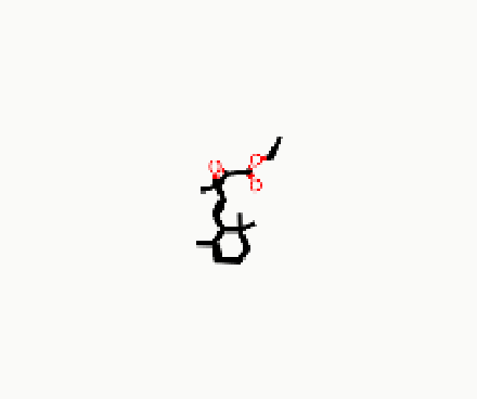 CCOC(=O)C1OC1(C)C=CC1C(C)=CCCC1(C)C